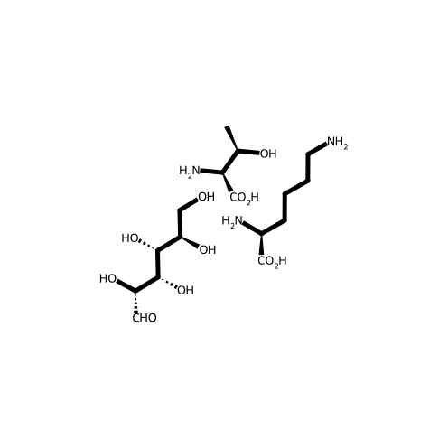 C[C@@H](O)[C@H](N)C(=O)O.NCCCC[C@H](N)C(=O)O.O=C[C@H](O)[C@@H](O)[C@H](O)[C@H](O)CO